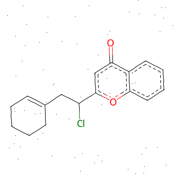 O=c1cc(C(Cl)CC2=CCCCC2)oc2ccccc12